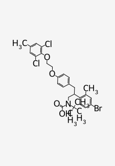 Cc1cc(Cl)c(OCCOc2ccc(CC(CN(C(=O)O)C(C)(C)C)c3ccc(Br)cc3C)cc2)c(Cl)c1